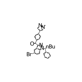 CCCCC(c1ccccc1)n1nc(C(=O)c2ccc(-c3cnn(C)c3)cc2)c2cc(Br)ccc21